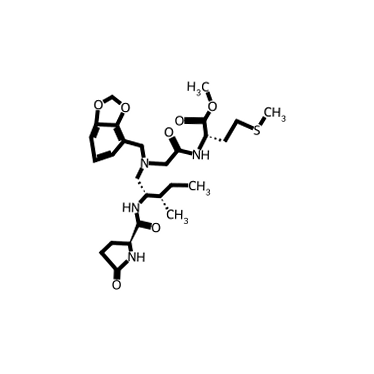 CC[C@H](C)[C@@H](CN(CC(=O)N[C@@H](CCSC)C(=O)OC)Cc1cccc2c1OCO2)NC(=O)[C@@H]1CCC(=O)N1